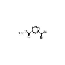 COC(=O)c1ccnc(C(Br)Br)c1